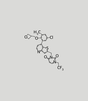 Cc1cc(Cl)cc(-c2ccnc3cc(Cn4c(=O)ccn(CC(F)(F)F)c4=O)sc23)c1OCC1COC1